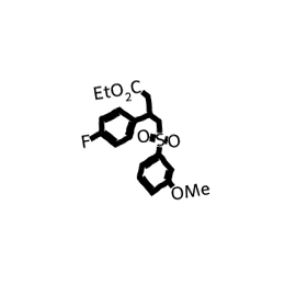 CCOC(=O)CC(CS(=O)(=O)c1cccc(OC)c1)c1ccc(F)cc1